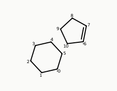 [CH]1CCCCC1.[C]1=CCCC1